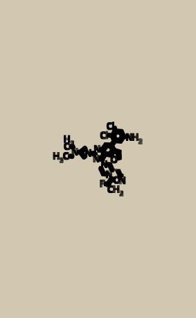 C=C(F)C(=O)N1CCN(c2nc(N3CC(N(CC)CC)C3)nc3cc(-c4cc(N)cc(Cl)c4Cl)c4ccoc4c23)C[C@@H]1CC#N